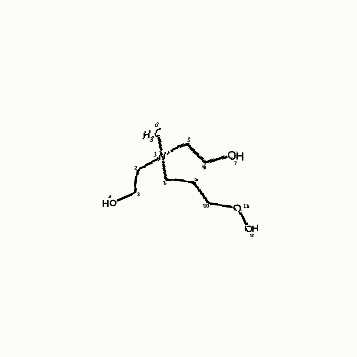 C[N+](CCO)(CCO)CCCOO